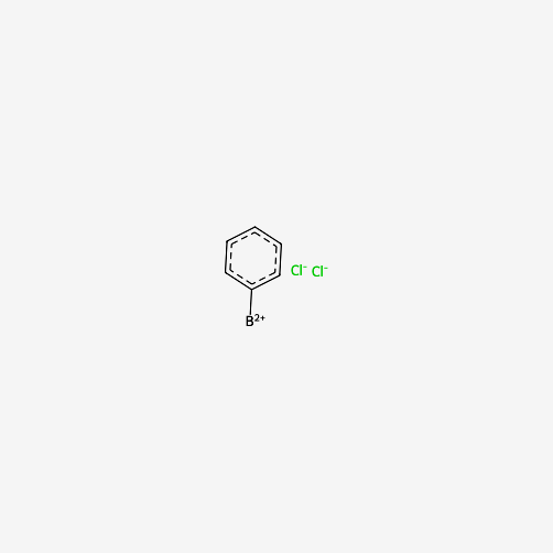 [B+2]c1ccccc1.[Cl-].[Cl-]